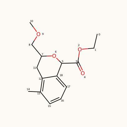 CCOC(=O)C1OC(COC)Cc2c(C)cccc21